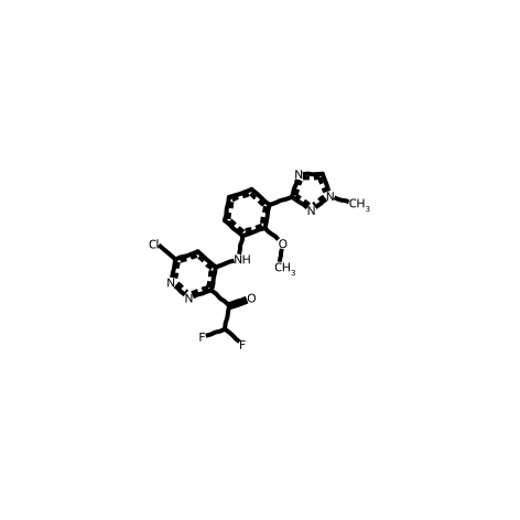 COc1c(Nc2cc(Cl)nnc2C(=O)C(F)F)cccc1-c1ncn(C)n1